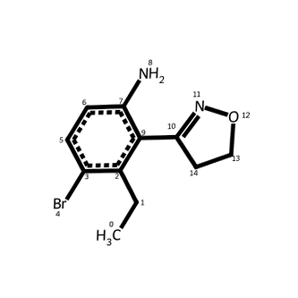 CCc1c(Br)ccc(N)c1C1=NOCC1